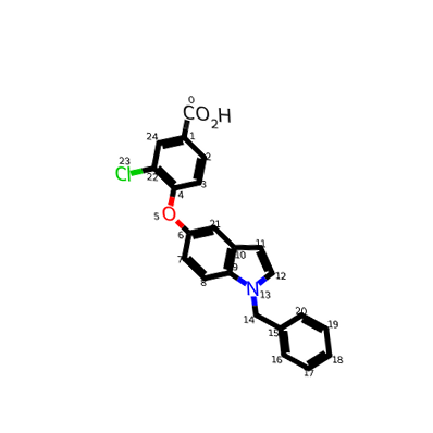 O=C(O)c1ccc(Oc2ccc3c(ccn3Cc3ccccc3)c2)c(Cl)c1